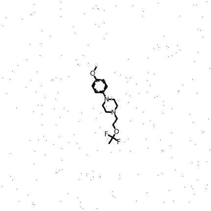 COc1ccc(N2CCN(CCOC(C)(F)F)CC2)cc1